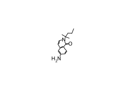 CCCC(C)(C)n1ccc2cc(N)ccc2c1=O